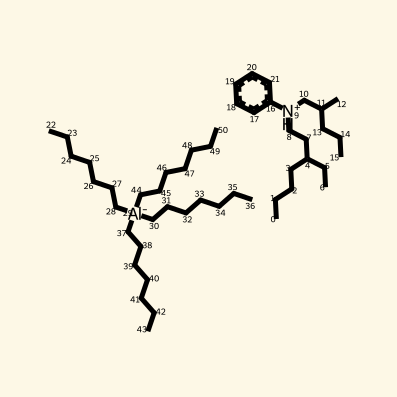 CCCCC(CC)CC[NH+](CC(C)CCC)c1ccccc1.CCCCCC[CH2][Al-]([CH2]CCCCCC)([CH2]CCCCCC)[CH2]CCCCCC